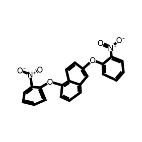 O=[N+]([O-])c1ccccc1Oc1ccc2c(Oc3ccccc3[N+](=O)[O-])cccc2c1